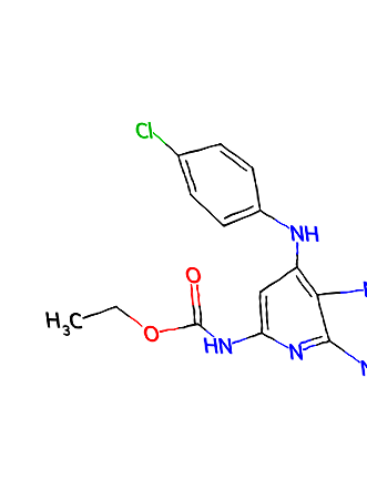 CCOC(=O)Nc1cc(Nc2ccc(Cl)cc2)c(N)c(N)n1